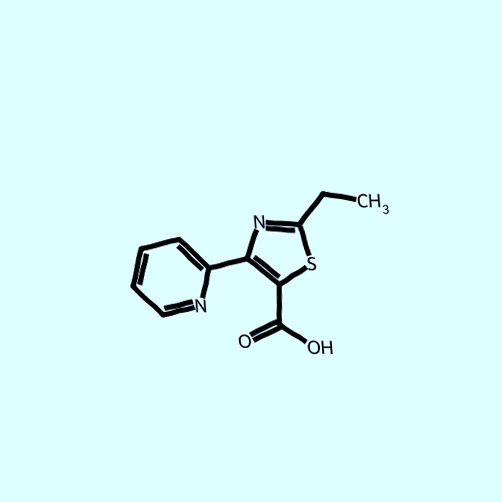 CCc1nc(-c2ccccn2)c(C(=O)O)s1